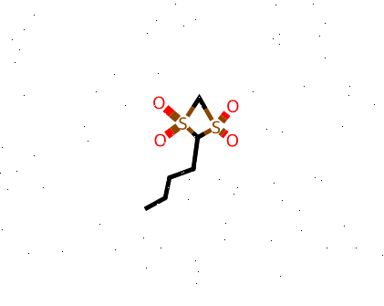 CCCCC1S(=O)(=O)CS1(=O)=O